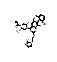 C=CC(=O)N1C[C@H](C)N(c2nc(OCCn3ccnc3C)nc3c(F)c(-c4c(O)cccc4F)c(Cl)cc23)C[C@H]1C